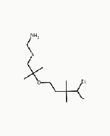 CCC(F)C(C)(C)CCOC(C)(C)CSCN